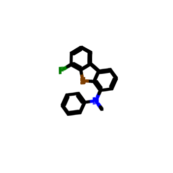 CN(c1ccccc1)c1cccc2c1sc1c(F)cccc12